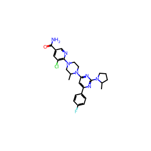 CC1CN(c2ncc(C(N)=O)cc2Cl)CCN1c1cc(-c2ccc(F)cc2)nc(N2CCCC2C)n1